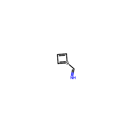 N=C[Si]1=CC=C1